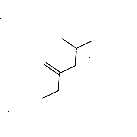 [CH2]C(C)CC(=C)CC